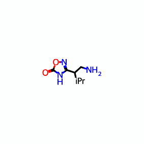 CC(C)C(CN)c1noc(=O)[nH]1